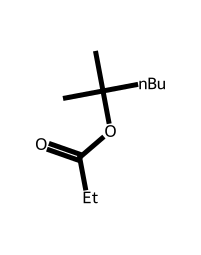 CCCCC(C)(C)OC(=O)CC